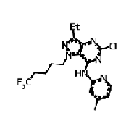 CCc1nn(CCCCC(F)(F)F)c2c(Nc3cc(C)ccn3)nc(Cl)nc12